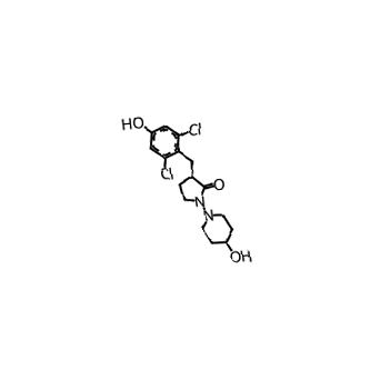 O=C1[C@H](Cc2c(Cl)cc(O)cc2Cl)CCN1N1CCC(O)CC1